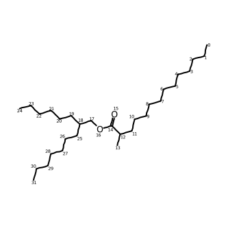 CCCCCCCCCCCCC(C)C(=O)OCC(CCCCCC)CCCCCCC